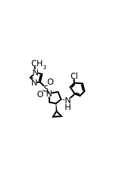 Cn1cnc(S(=O)(=O)N2C[C@H](Nc3cccc(Cl)c3)[C@@H](C3CC3)C2)c1